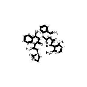 Cc1ncnc(C)c1C(O)C(=O)[C@@H](C(N)c1ccccc1)[C@@H](O)C[C@H](C(=O)CC(C)CN1CCNC1=O)C(N)c1ccccc1